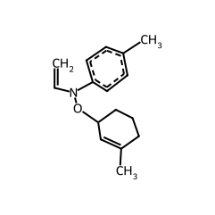 C=CN(OC1C=C(C)CCC1)c1ccc(C)cc1